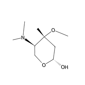 CO[C@]1(C)C[C@H](O)OC[C@H]1N(C)C